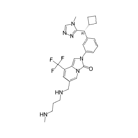 CNCCCNCc1cc(C(F)(F)F)c2cn(-c3cccc([C@H](c4nncn4C)C4CCC4)c3)c(=O)n2c1